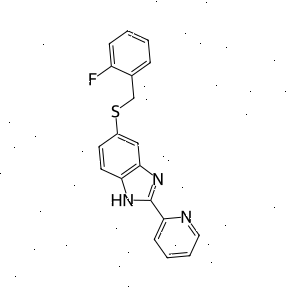 Fc1ccccc1CSc1ccc2[nH]c(-c3ccccn3)nc2c1